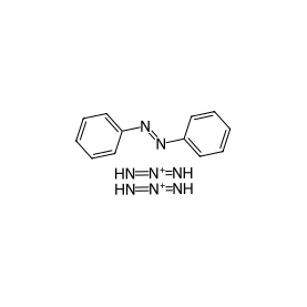 N=[N+]=N.N=[N+]=N.c1ccc(N=Nc2ccccc2)cc1